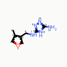 Cc1cocc1CNc1nnc(N)[nH]1